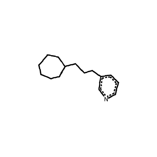 c1cncc(CCCC2CCCCCC2)c1